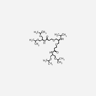 CC(C)NC(COCCC(=O)NC(COC(C)C)COC(C)C)COCCC(=O)NC(COC(C)C)COC(C)C